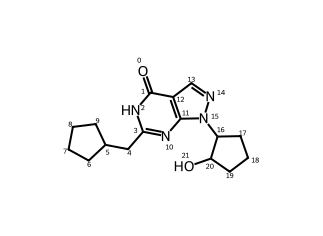 O=c1[nH]c(CC2CCCC2)nc2c1cnn2C1CCCC1O